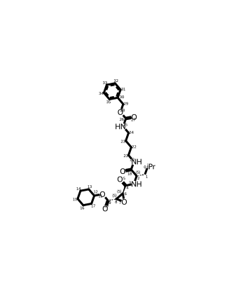 CC(C)C[C@H](NC(=O)[C@H]1O[C@@H]1C(=O)OC1CCCCC1)C(=O)NCCCCNC(=O)OCc1ccccc1